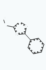 CCSc1nc(-c2ccccc2)ns1